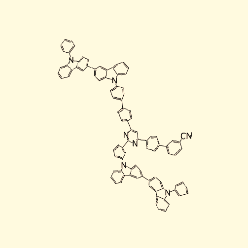 N#Cc1cccc(-c2ccc(-c3cc(-c4ccc(-c5ccc(-n6c7ccccc7c7cc(-c8ccc9c(c8)c8ccccc8n9-c8ccccc8)ccc76)cc5)cc4)nc(-c4cccc(-n5c6ccccc6c6cc(-c7ccc8c(c7)c7ccccc7n8-c7ccccc7)ccc65)c4)n3)cc2)c1